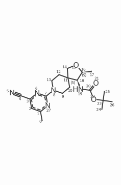 Cc1cc(C#N)nc(N2CCC3(CC2)CO[C@@H](C)[C@H]3NC(=O)OC(C)(C)C)n1